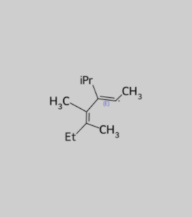 C/[C]=C(/C(C)=C(C)CC)C(C)C